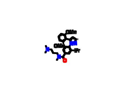 COc1cccc(OC)c1-c1c[c]nn1-c1ccc(C(=O)N(C)CCCN(C)C)cc1C(C)C